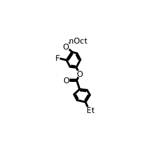 CCCCCCCCOc1ccc(OC(=O)c2ccc(CC)cc2)cc1F